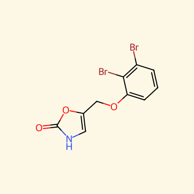 O=c1[nH]cc(COc2cccc(Br)c2Br)o1